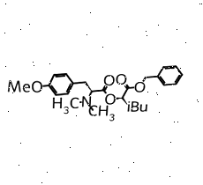 CC[C@H](C)[C@@H](OC(=O)[C@H](Cc1ccc(OC)cc1)N(C)C)C(=O)OCc1ccccc1